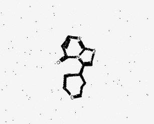 O=c1ccnc2scc(C3CCOCC3)n12